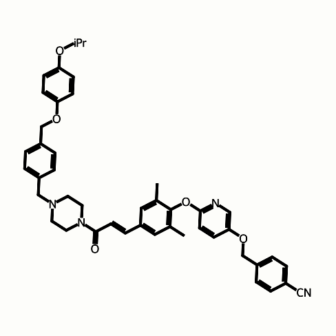 Cc1cc(C=CC(=O)N2CCN(Cc3ccc(COc4ccc(OC(C)C)cc4)cc3)CC2)cc(C)c1Oc1ccc(OCc2ccc(C#N)cc2)cn1